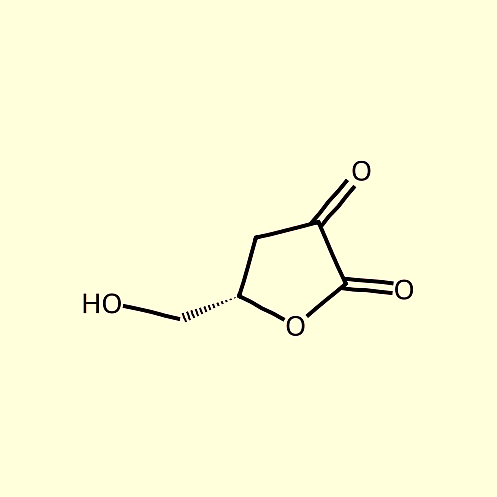 O=C1C[C@@H](CO)OC1=O